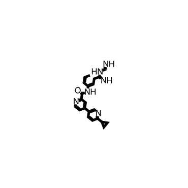 C/C=C\C(=C/CC(=N)NC=N)NC(=O)c1cc(-c2ccc(C3CC3)nc2)ccn1